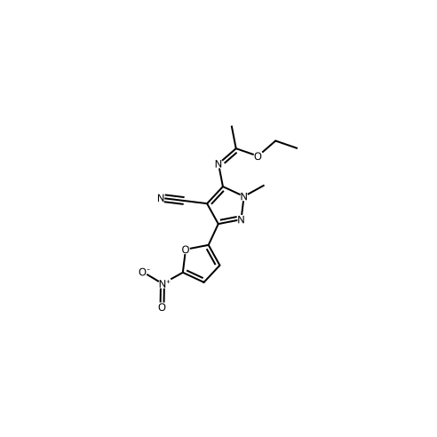 CCOC(C)=Nc1c(C#N)c(-c2ccc([N+](=O)[O-])o2)nn1C